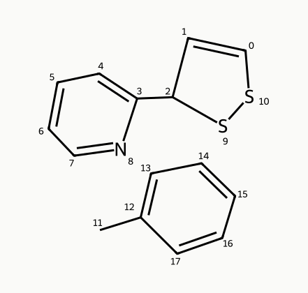 C1=CC(c2ccccn2)SS1.Cc1ccccc1